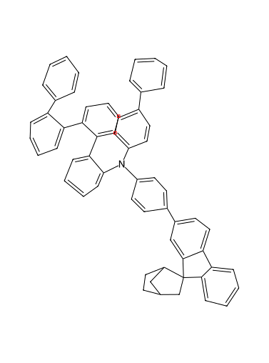 c1ccc(-c2ccc(N(c3ccc(-c4ccc5c(c4)C4(CC6CCC4C6)c4ccccc4-5)cc3)c3ccccc3-c3ccccc3-c3ccccc3-c3ccccc3)cc2)cc1